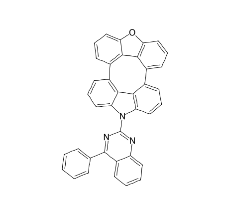 c1ccc(-c2nc(-n3c4cccc5c6cccc7oc8cccc(c9cccc3c9c54)c8c76)nc3ccccc23)cc1